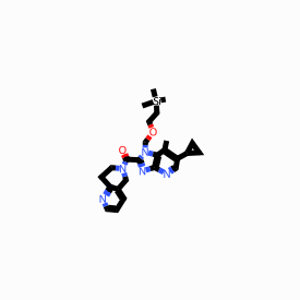 Cc1c(C2CC2)cnc2nc(C(=O)N3CCc4ncccc4C3)n(COCC[Si](C)(C)C)c12